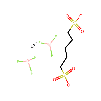 FB(F)F.FB(F)F.O=S(=O)([O-])CCCCCS(=O)(=O)[O-].[Li+].[Li+]